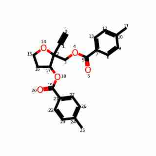 C#CC1(COC(=O)c2ccc(C)cc2)OCCC1OC(=O)c1ccc(C)cc1